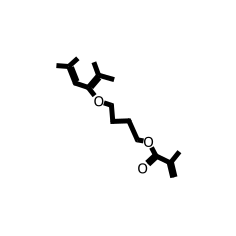 C=C(C)C(=O)OCCCCOC(C=C(C)C)=C(C)C